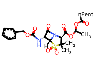 CCCCCC(=O)OC(C)OC(=O)[C@@H]1N2C(=O)[C@@H](NC(=O)OCc3ccccc3)[C@H]2S(=O)(=O)C1(C)C